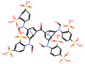 O=CN(c1ccc(S(=O)(=O)O)cc1S(=O)(=O)O)c1cc(C(=O)c2cc(N(C=O)c3ccc(S(=O)(=O)O)cc3S(=O)(=O)O)c3c(N(C=O)c4ccc(S(=O)(=O)O)cc4S(=O)(=O)O)c2N3)c2c(N(C=O)c3ccc(S(=O)(=O)O)cc3S(=O)(=O)O)c1N2